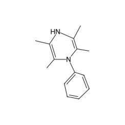 CC1=C(C)N(c2ccccc2)C(C)=C(C)N1